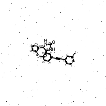 Cc1cccc(C#Cc2ccc(Sc3ccoc3C3NC(=O)NC3=O)cc2)c1